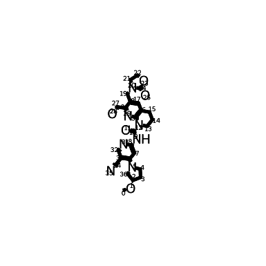 CO[C@H]1CCN(c2cc(NC(=O)N3CCCc4cc(CN5CCOC5=O)c(C=O)nc43)ncc2C#N)C1